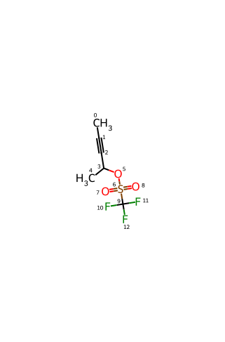 CC#CC(C)OS(=O)(=O)C(F)(F)F